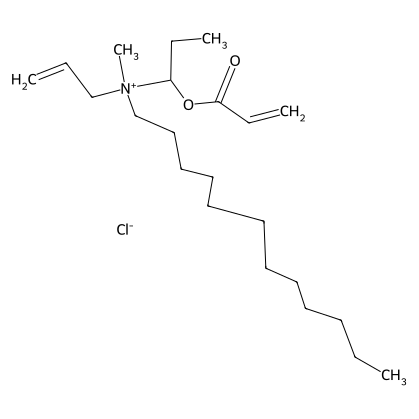 C=CC[N+](C)(CCCCCCCCCCCC)C(CC)OC(=O)C=C.[Cl-]